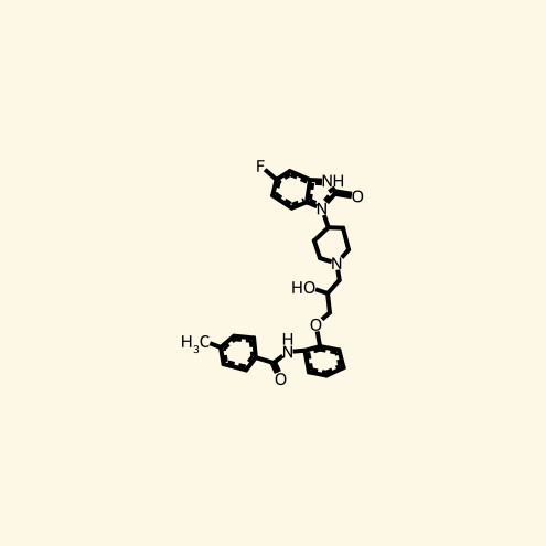 Cc1ccc(C(=O)Nc2ccccc2OCC(O)CN2CCC(n3c(=O)[nH]c4cc(F)ccc43)CC2)cc1